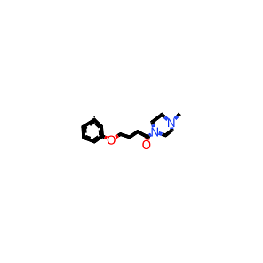 CN1CCN(C(=O)CCCOc2c[c]ccc2)CC1